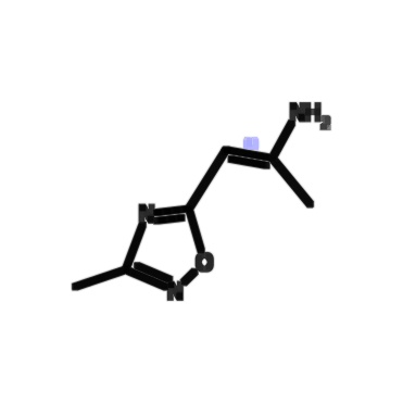 C/C(N)=C\c1nc(C)no1